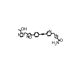 CC(O)c1nccn1Cc1cc(-c2ccc(C#Cc3ccc(CN4CC(C(N)=O)C4)nc3)cc2)on1